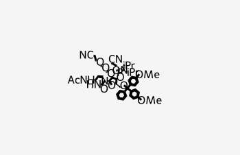 COc1ccc(C(OC[C@H]2O[C@@H](N3C=CC(NC(C)=O)NC3=O)[C@@H](OCOCOCCC#N)[C@H]2OP(OCCC#N)N(C(C)C)C(C)C)(c2ccccc2)c2ccc(OC)cc2)cc1